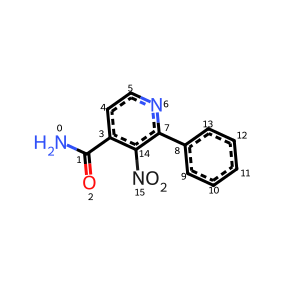 NC(=O)c1ccnc(-c2ccccc2)c1[N+](=O)[O-]